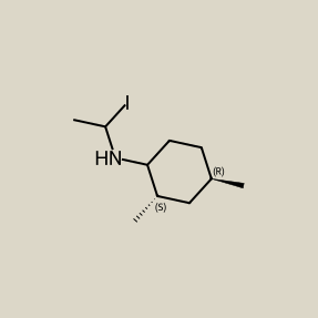 CC(I)NC1CC[C@@H](C)C[C@@H]1C